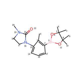 Cc1c(B2OC(C)(C)C(C)(C)O2)cccc1N1CCN(C)C1=O